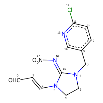 O=CC=CN1CCN(Cc2ccc(Cl)nc2)C1=N[N+](=O)[O-]